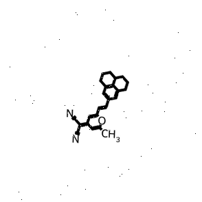 CC1=CC(=C(C#N)C#N)C=C(/C=C/c2cc3c4c(c2)CCCC4CCC3)O1